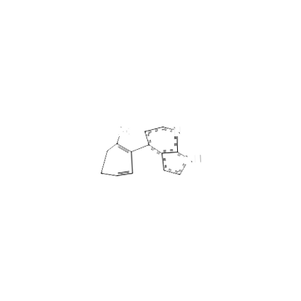 CC(=O)C1=C(c2ccnc3[nH]ccc23)C=CCC1